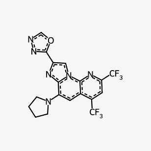 FC(F)(F)c1cc(C(F)(F)F)c2cc(N3CCCC3)c3nc(-c4nnco4)cn3c2n1